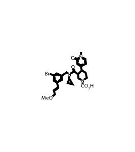 COCC=Cc1cc(Br)cc(CN(C(=O)C2CN(C(=O)O)CCC2c2ccn(C)c(=O)c2)C2CC2)c1